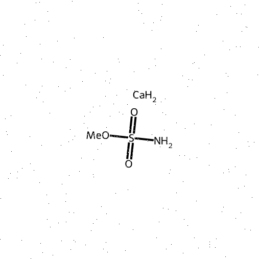 COS(N)(=O)=O.[CaH2]